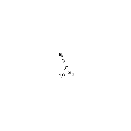 O.O.O.[O]=[BiH]